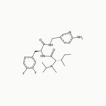 CCC(C)[C@@H](C(=O)N[C@@H](Cc1ccc(F)c(F)c1)C(=O)NCc1ccc(N)nc1)N(C)C(C)C